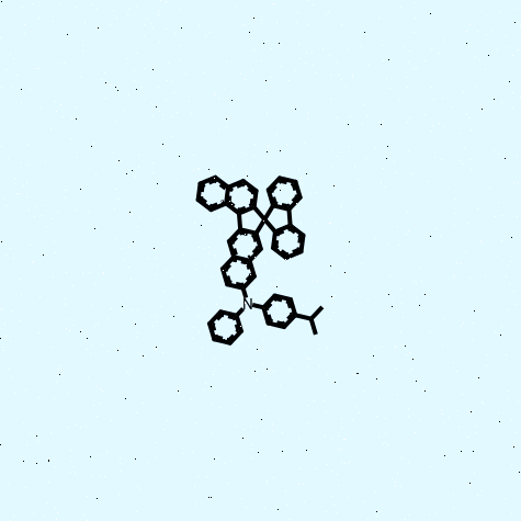 CC(C)c1ccc(N(c2ccccc2)c2ccc3cc4c(cc3c2)C2(c3ccccc3-c3ccccc32)c2ccc3ccccc3c2-4)cc1